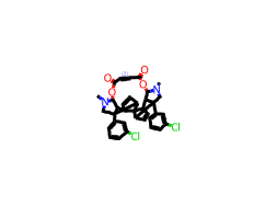 CN1CC2(c3cccc(Cl)c3)C3C1OC(=O)/C=C\C(=O)OC1C4C5C=CC(C4(c4cccc(Cl)c4)CN1C)C51C3C=CC21